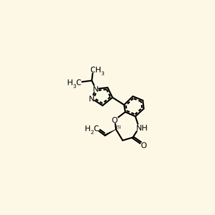 C=C[C@@H]1CC(=O)Nc2cccc(-c3cnn(C(C)C)c3)c2O1